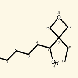 CCCCCC(O)C1(CC)COC1